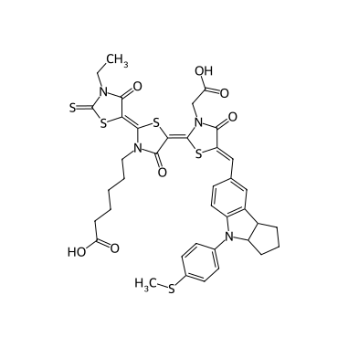 CCN1C(=O)/C(=c2\s/c(=c3/s/c(=C\c4ccc5c(c4)C4CCCC4N5c4ccc(SC)cc4)c(=O)n3CC(=O)O)c(=O)n2CCCCCC(=O)O)SC1=S